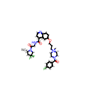 C[N+]1(CCCOc2ccc3nccc(C(=O)NCC(=O)N4CC(F)(F)C[C@H]4C#N)c3c2)CCN(C(=O)c2ccc(F)cc2)CC1